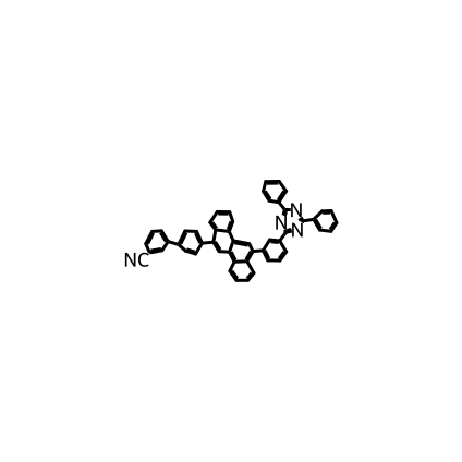 N#Cc1cccc(-c2ccc(-c3cc4c5ccccc5c(-c5cccc(-c6nc(-c7ccccc7)nc(-c7ccccc7)n6)c5)cc4c4ccccc34)cc2)c1